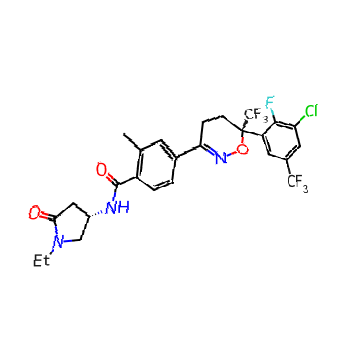 CCN1C[C@@H](NC(=O)c2ccc(C3=NO[C@](c4cc(C(F)(F)F)cc(Cl)c4F)(C(F)(F)F)CC3)cc2C)CC1=O